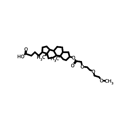 COCCOCCOCC(=O)OC1CCC2(C)C(CCC3C4CCC(CCCC(=O)O)C4(C)CCC32)C1